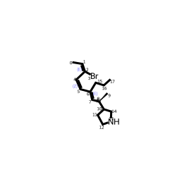 C\C=C(Br)/C=C\C(=C\[C@@H](C)C1CCNC1)CCC